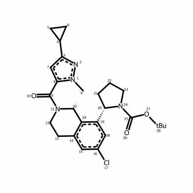 Cn1nc(C2CC2)cc1C(=O)N1CCc2cc(Cl)cc([C@@H]3CCCN3C(=O)OC(C)(C)C)c2C1